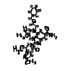 CCn1nc(C)cc1C(=O)Nc1nc2cc(C(N)=O)cc3c2n1CC(C)(C)CN3CCOCc1ccccc1